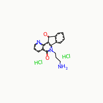 Cl.Cl.NCCCn1c2c(c3ncccc3c1=O)C(=O)c1ccccc1-2